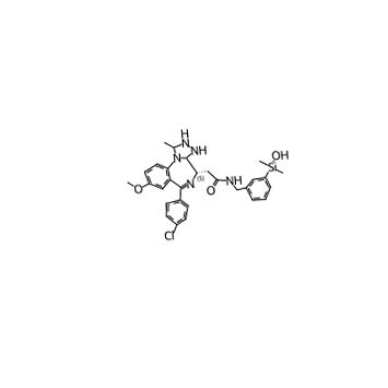 COc1ccc2c(c1)C(c1ccc(Cl)cc1)=N[C@@H](CC(=O)NCc1cccc([Si](C)(C)O)c1)C1NNC(C)N21